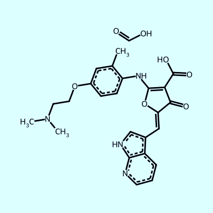 Cc1cc(OCCN(C)C)ccc1NC1=C(C(=O)O)C(=O)/C(=C/c2c[nH]c3ncccc23)O1.O=CO